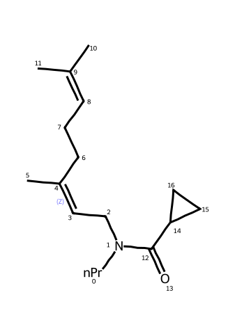 CCCN(C/C=C(/C)CCC=C(C)C)C(=O)C1CC1